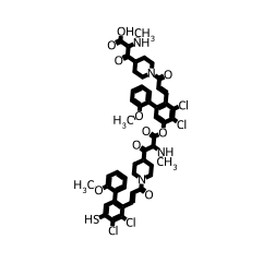 CNC(C(=O)O)C(=O)C1CCN(C(=O)/C=C/c2c(-c3ccccc3OC)cc(OC(=O)C(NC)C(=O)C3CCN(C(=O)/C=C/c4c(-c5ccccc5OC)cc(S)c(Cl)c4Cl)CC3)c(Cl)c2Cl)CC1